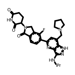 CC(C)Nc1n[nH]c2c(CN3CCCC3)cc(-c3ccc4c(c3F)CN(C3CCC(=O)NC3=O)C4=O)nc12